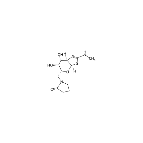 CNC1=N[C@@H]2[C@@H](O)[C@H](O)[C@@H](CN3CCCC3=O)O[C@@H]2S1